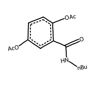 CCCCNC(=O)c1cc(OC(C)=O)ccc1OC(C)=O